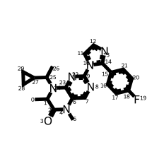 CC1C(=O)N(C)c2cnc(-n3ccnc3-c3ccc(F)cc3)nc2N1C(C)C1CC1